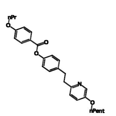 CCCCCOc1ccc(CCc2ccc(OC(=O)c3ccc(OCCC)cc3)cc2)nc1